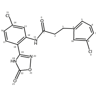 O=C(CCc1cccc(Cl)c1)Nc1cc(Cl)ccc1-c1noc(=O)[nH]1